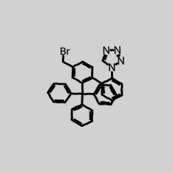 BrCc1ccc(-c2ccccc2-n2cnnn2)c(C(c2ccccc2)(c2ccccc2)c2ccccc2)c1